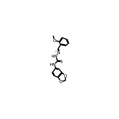 COc1ccccc1/C=N/NC(=S)Nc1ccc2c(c1)OCO2